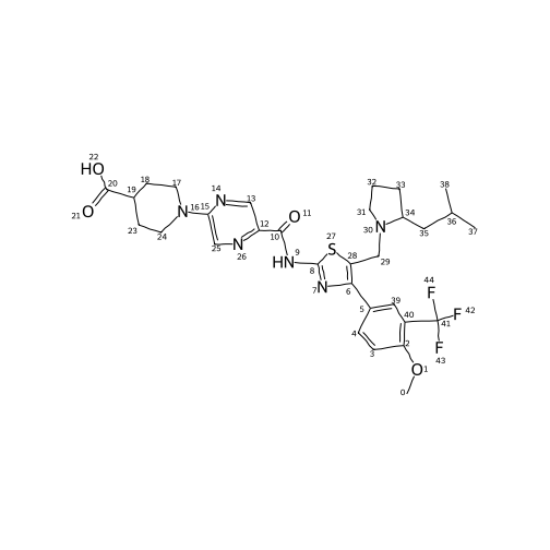 COc1ccc(-c2nc(NC(=O)c3cnc(N4CCC(C(=O)O)CC4)cn3)sc2CN2CCCC2CC(C)C)cc1C(F)(F)F